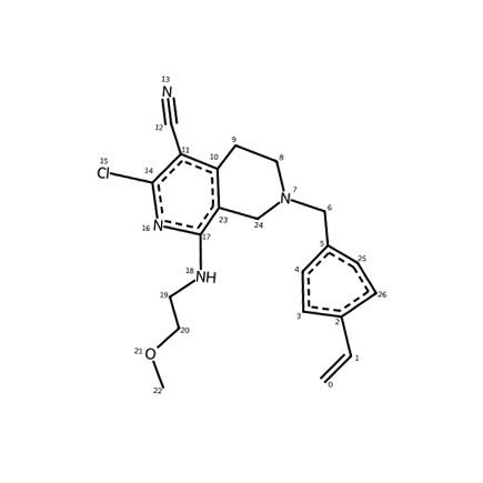 C=Cc1ccc(CN2CCc3c(C#N)c(Cl)nc(NCCOC)c3C2)cc1